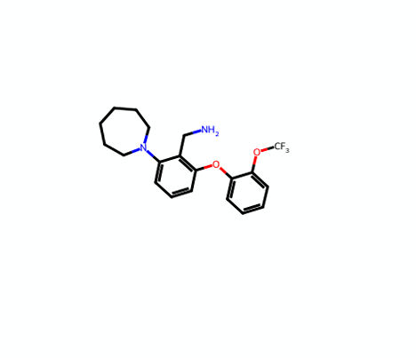 NCc1c(Oc2ccccc2OC(F)(F)F)cccc1N1CCCCCC1